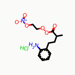 CC(CCc1ccccc1N)C(=O)OOCCO[N+](=O)[O-].Cl